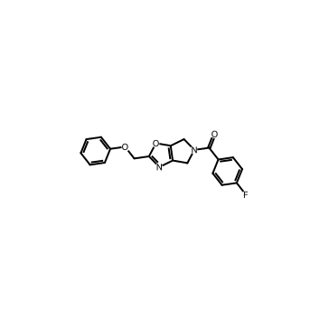 O=C(c1ccc(F)cc1)N1Cc2nc(COc3ccccc3)oc2C1